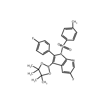 Cc1ccc(S(=O)(=O)n2c(-c3ccc(F)cc3)c(B3OC(C)(C)C(C)(C)O3)c3cc(F)cnc32)cc1